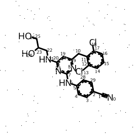 N#Cc1ccc(Nc2nc(Cc3c(Cl)cccc3Cl)cc(NCC(O)CO)n2)cc1